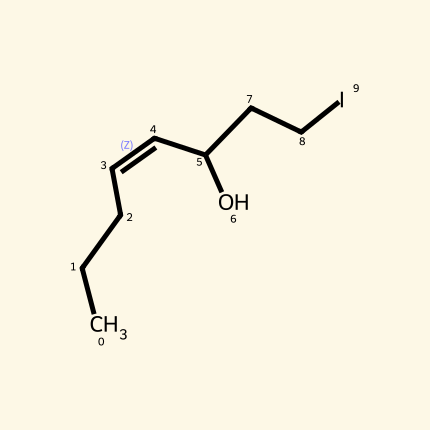 CCC/C=C\C(O)CCI